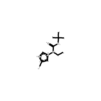 CCN(C(=O)OC(C)(C)C)n1cnc(I)c1